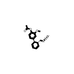 COc1cc([C@@H]2C=CC=C[C@H]2CN=[N+]=[N-])ccc1OC(C)=O